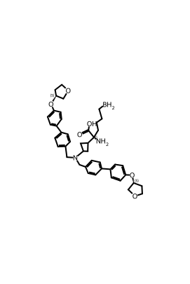 BCCCC[C@@](N)(C(=O)O)C1CC(N(Cc2ccc(-c3ccc(O[C@H]4CCOC4)cc3)cc2)Cc2ccc(-c3ccc(O[C@H]4CCOC4)cc3)cc2)C1